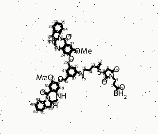 BC(=O)CCN1C(=O)CC(SC(=C)CCCN(C)c2cc(COc3cc4c(cc3OC)C(=O)N3c5ccccc5C[C@H]3C=N4)cc(COc3cc4c(cc3OC)C(=O)N3c5ccccc5C[C@H]3CN4)c2)C1=O